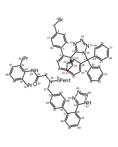 BrCc1ccc(-c2ccccc2-c2nnnn2C(c2ccccc2)(c2ccccc2)c2ccccc2)cc1.CCCCCN(CC(=O)Nc1c(C(C)C)cccc1C(C)C)Cc1ccc(-c2ccccc2-c2nnn[nH]2)cc1